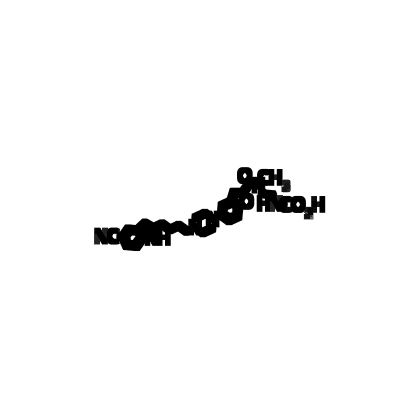 CN(CCNC(=O)O)C(=O)c1cc2cc(N3CCN(CCCCc4cc5cc(C#N)ccc5[nH]4)CC3)ccc2o1